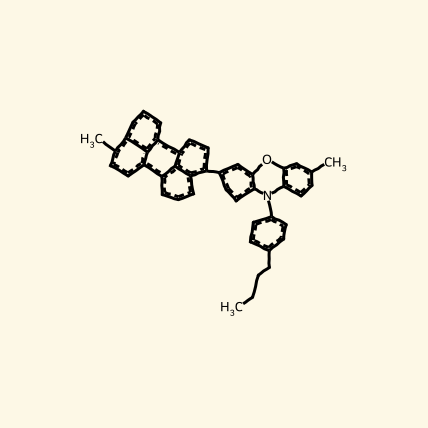 CCCCc1ccc(N2c3ccc(C)cc3Oc3cc(-c4ccc5c6cccc7c(C)ccc(c8cccc4c85)c76)ccc32)cc1